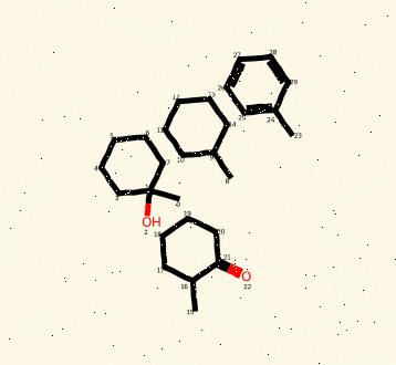 CC1(O)CCCCC1.CC1CCCCC1.CC1CCCCC1=O.Cc1ccccc1